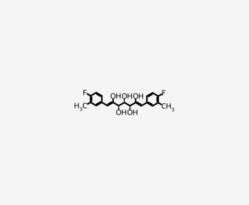 Cc1cc(C=C(O)[C@@H](O)[C@H](O)[C@@H](O)C(O)=Cc2ccc(F)c(C)c2)ccc1F